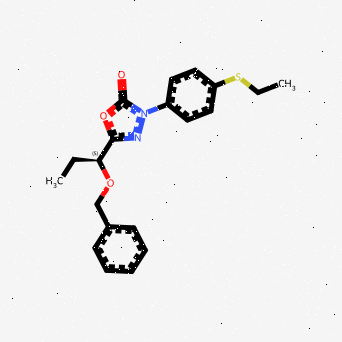 CCSc1ccc(-n2nc([C@H](CC)OCc3ccccc3)oc2=O)cc1